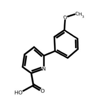 COc1cccc(-c2cccc(C(=O)O)n2)c1